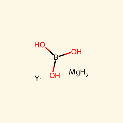 OB(O)O.[MgH2].[Y]